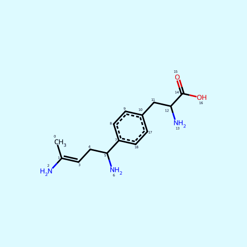 C/C(N)=C\CC(N)c1ccc(CC(N)C(=O)O)cc1